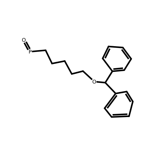 O=PCCCCCOC(c1ccccc1)c1ccccc1